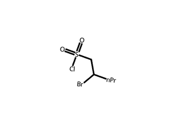 CCCC(Br)CS(=O)(=O)Cl